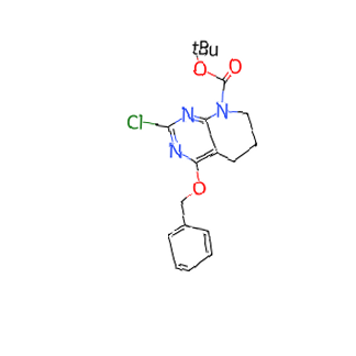 CC(C)(C)OC(=O)N1CCCc2c(OCc3ccccc3)nc(Cl)nc21